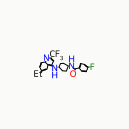 CCc1ccc2nc(C(F)(F)F)cc(N[C@H]3CC[C@@H](NC(=O)c4ccc(F)cc4)CC3)c2c1